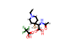 CCN1CCC(S)(C(NC(C)=O)C(=O)O)CC1.O=C(O)C(F)(F)F